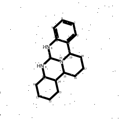 c1ccc2c(c1)NC1NC3CCCCC3C3CCCC2N13